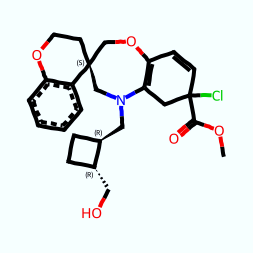 COC(=O)C1(Cl)C=CC2=C(C1)N(C[C@@H]1CC[C@H]1CO)C[C@@]1(CCOc3ccccc31)CO2